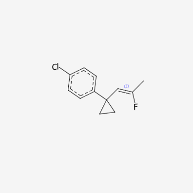 C/C(F)=C/C1(c2ccc(Cl)cc2)CC1